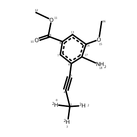 [2H]C([2H])([2H])C#Cc1cc(C(=O)OC)cc(OC)c1N